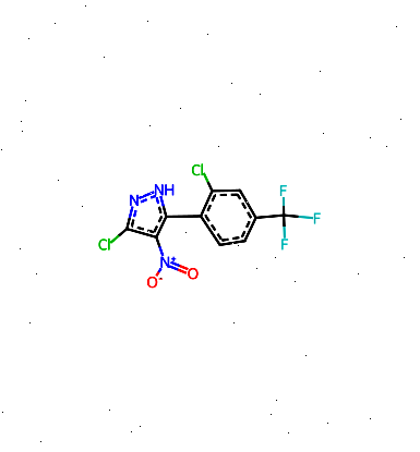 O=[N+]([O-])c1c(Cl)n[nH]c1-c1ccc(C(F)(F)F)cc1Cl